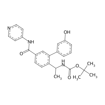 CC(NC(=O)OC(C)(C)C)c1ccc(C(=O)Nc2ccncc2)cc1-c1cccc(O)c1